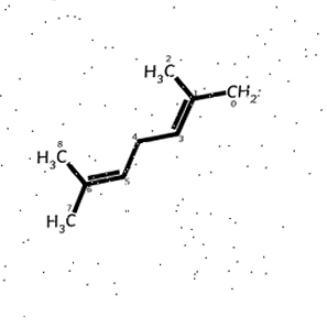 [CH2]C(C)=CCC=C(C)C